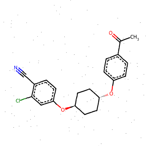 CC(=O)c1ccc(O[C@H]2CC[C@H](Oc3ccc(C#N)c(Cl)c3)CC2)cc1